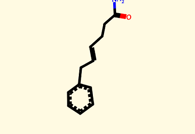 NC(=O)CCC=CCc1ccccc1